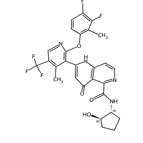 Cc1c(Oc2ncc(C(F)(F)F)c(C)c2-c2cc(=O)c3c(C(=O)N[C@@H]4CCC[C@H]4O)nccc3[nH]2)ccc(F)c1F